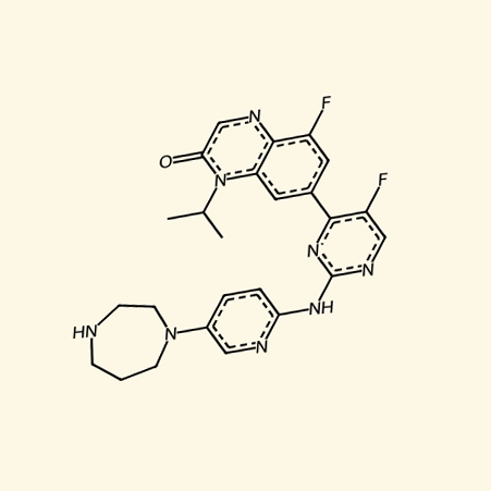 CC(C)n1c(=O)cnc2c(F)cc(-c3nc(Nc4ccc(N5CCCNCC5)cn4)ncc3F)cc21